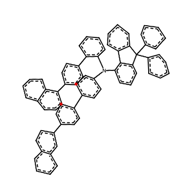 c1ccc(C2(c3ccccc3)c3ccccc3-c3c(N(c4ccc(-c5ccc(-c6ccc7ccccc7c6)cc5)cc4)c4ccccc4-c4ccc(-c5cccc6ccccc56)cc4)cccc32)cc1